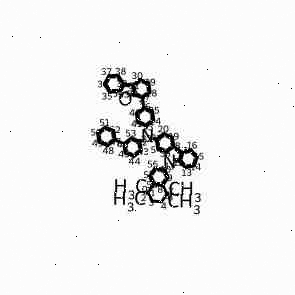 CC1(C)CCC(C)(C)c2cc(-n3c4ccccc4c4ccc(N(c5ccc(-c6cccc7c6oc6ccccc67)cc5)c5cccc(-c6ccccc6)c5)cc43)ccc21